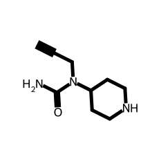 C#CCN(C(N)=O)C1CCNCC1